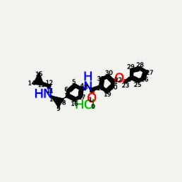 Cl.O=C(Nc1ccc([C@@H]2C[C@H]2NCC2CC2)cc1)c1ccc(OCc2ccccc2)cc1